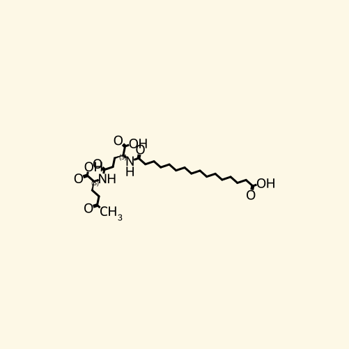 CC(=O)CC[C@H](NC(=O)CC[C@H](NC(=O)CCCCCCCCCCCCCCC(=O)O)C(=O)O)C(=O)O